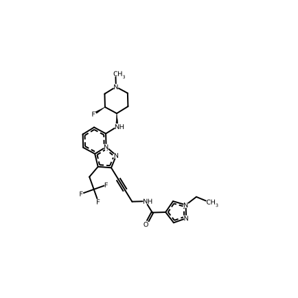 CCn1cc(C(=O)NCC#Cc2nn3c(N[C@@H]4CCN(C)C[C@@H]4F)cccc3c2CC(F)(F)F)cn1